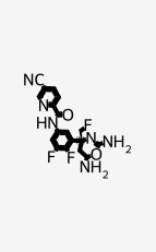 N#Cc1ccc(C(=O)Nc2cc(F)c(F)c([C@@]3(CF)CC(N)OC(N)=N3)c2)nc1